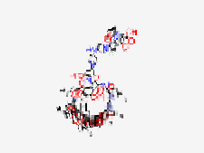 COc1c(N2CCC(NC3CCN(c4cc(O)c5nc6c7c8c9c(C)c(O)c7c(=O)c(c-6oc5c4)NC(=O)/C(C)=C\C=C\[C@H](C)[C@H](O)[C@@H](C)[C@@H](O)[C@@H](C)[C@H](OC(C)=O)[C@H](C)[C@@H](OC)/C=C/O[C@@](C)(O9)C8=O)CC3)CC2)c(F)cc2c(=O)c(C(=O)O)cn(C3CC3)c12